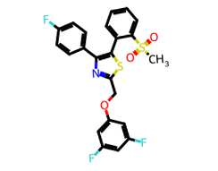 CS(=O)(=O)c1ccccc1-c1sc(COc2cc(F)cc(F)c2)nc1-c1ccc(F)cc1